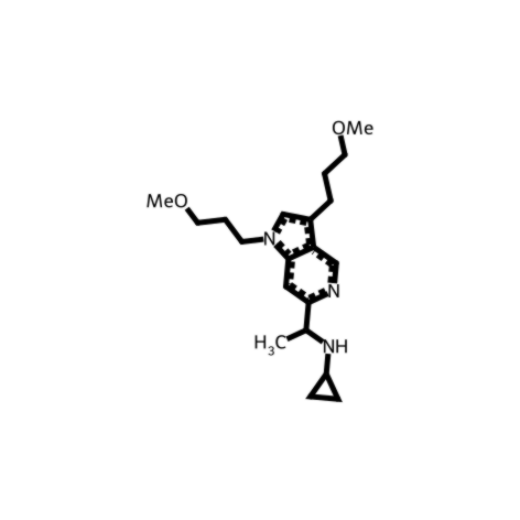 COCCCc1cn(CCCOC)c2cc(C(C)NC3CC3)ncc12